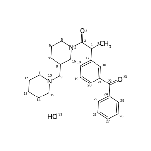 CC(C(=O)N1CCCC(CN2CCCCC2)C1)c1cccc(C(=O)c2ccccc2)c1.Cl